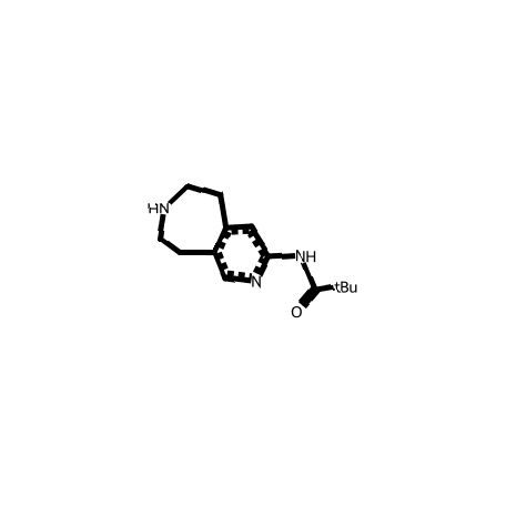 CC(C)(C)C(=O)Nc1cc2c(cn1)CCNCC2